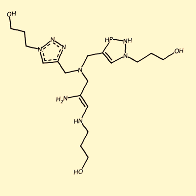 N/C(=C\NCCCO)CN(CC1=CN(CCCO)NP1)Cc1cn(CCCO)nn1